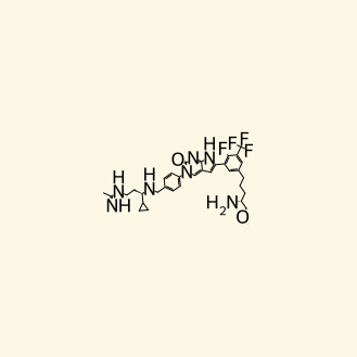 COC[C@H](N)CCCc1cc(-c2cc3cn(-c4ccc(CN[C@H](CCNC(C)=N)C5CC5)cc4)c(=O)nc3[nH]2)c(F)c(C(F)(F)F)c1